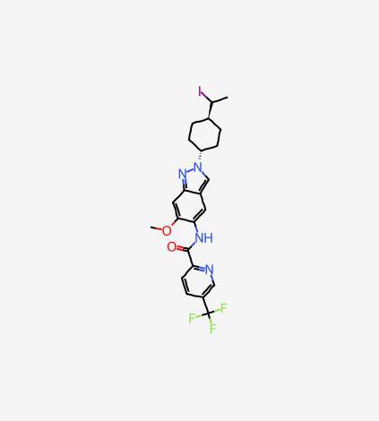 COc1cc2nn([C@H]3CC[C@H](C(C)I)CC3)cc2cc1NC(=O)c1ccc(C(F)(F)F)cn1